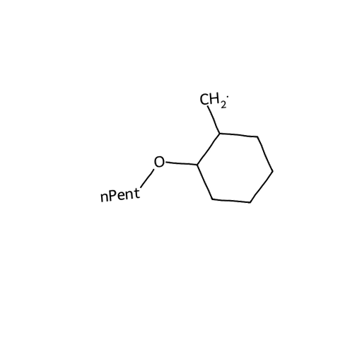 [CH2]C1CCCCC1OCCCCC